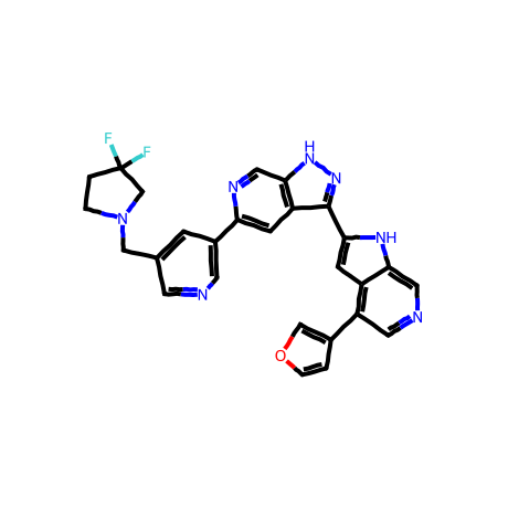 FC1(F)CCN(Cc2cncc(-c3cc4c(-c5cc6c(-c7ccoc7)cncc6[nH]5)n[nH]c4cn3)c2)C1